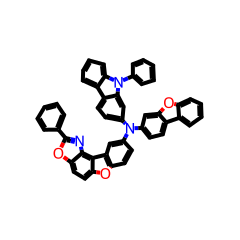 c1ccc(-c2nc3c(ccc4oc5ccc(N(c6ccc7c(c6)oc6ccccc67)c6ccc7c8ccccc8n(-c8ccccc8)c7c6)cc5c43)o2)cc1